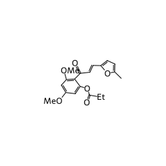 CCC(=O)Oc1cc(OC)cc(OC)c1C(=O)/C=C/c1ccc(C)o1